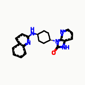 O=c1[nH]c2cccnc2n1[C@H]1CC[C@H](Nc2ccc3ccccc3n2)CC1